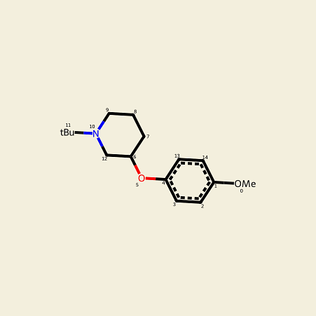 COc1ccc(OC2CCCN(C(C)(C)C)C2)cc1